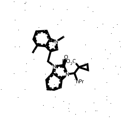 CCCC(n1c(=O)n(Cc2cn(C)c3cccc(C)c23)c2ccccc21)C1(C(=O)O)CC1